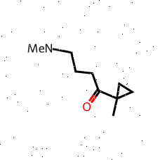 CNCCCC(=O)C1(C)CC1